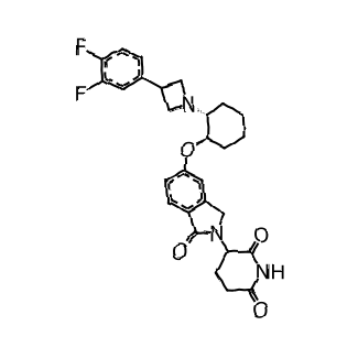 O=C1CCC(N2Cc3cc(O[C@@H]4CCCC[C@H]4N4CC(c5ccc(F)c(F)c5)C4)ccc3C2=O)C(=O)N1